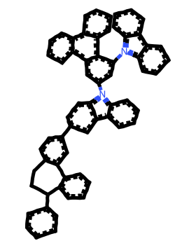 c1ccc(C2CCc3ccc(-c4ccc5c(c4)c4ccccc4n5-c4cc(-n5c6ccccc6c6ccccc65)c5c6ccccc6c6ccccc6c5c4)cc3-c3ccccc32)cc1